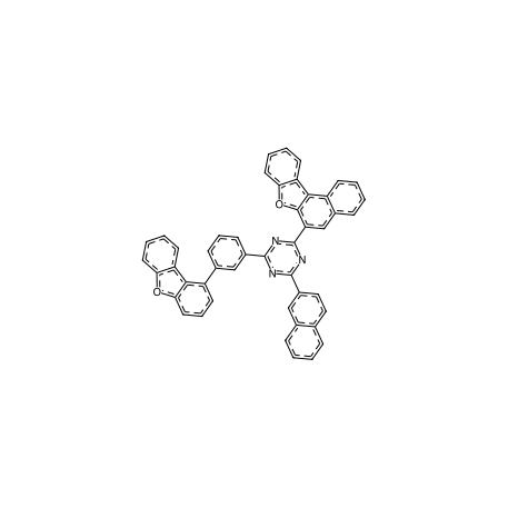 c1cc(-c2nc(-c3ccc4ccccc4c3)nc(-c3cc4ccccc4c4c3oc3ccccc34)n2)cc(-c2cccc3oc4ccccc4c23)c1